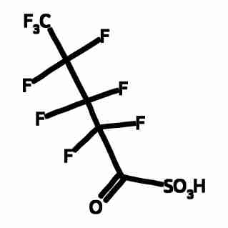 O=C(C(F)(F)C(F)(F)C(F)(F)C(F)(F)F)S(=O)(=O)O